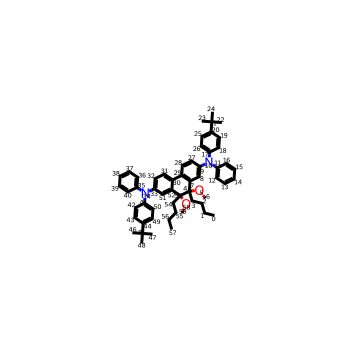 CCCCC1(OC)c2cc(N(c3ccccc3)c3ccc(C(C)(C)C)cc3)ccc2-c2ccc(N(c3ccccc3)c3ccc(C(C)(C)C)cc3)cc2C1(CCCC)OC